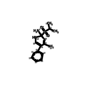 CC(C)S(=O)(=O)C1(N)N=C(N)C(c2ccccc2)=CN1